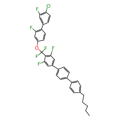 CCCCCc1ccc(-c2ccc(-c3cc(F)c(C(F)(F)Oc4ccc(-c5ccc(Cl)c(F)c5)c(F)c4)c(F)c3)cc2)cc1